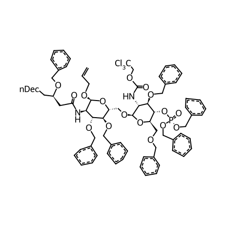 C=CCO[C@H]1O[C@H](CO[C@@H]2O[C@H](COCc3ccccc3)[C@@H](OP(=O)(OCc3ccccc3)OCc3ccccc3)[C@H](OCc3ccccc3)[C@H]2NC(=O)OCC(Cl)(Cl)Cl)[C@@H](OCc2ccccc2)[C@H](OCc2ccccc2)[C@H]1NC(=O)C[C@@H](CCCCCCCCCCC)OCc1ccccc1